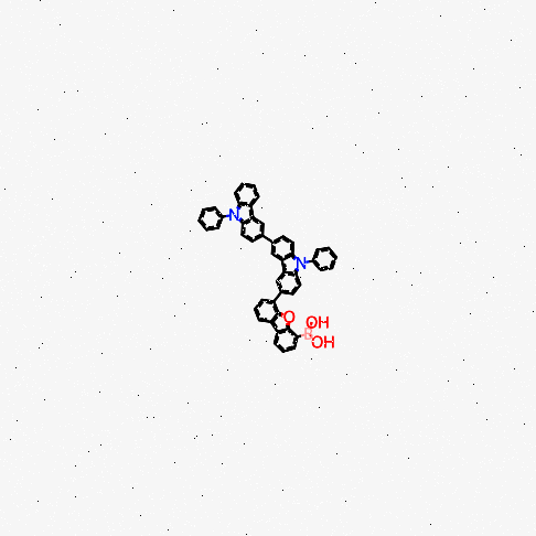 OB(O)c1cccc2c1oc1c(-c3ccc4c(c3)c3cc(-c5ccc6c(c5)c5ccccc5n6-c5ccccc5)ccc3n4-c3ccccc3)cccc12